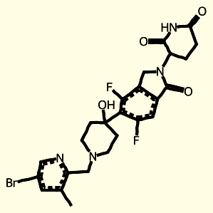 Cc1cc(Br)cnc1CN1CCC(O)(c2c(F)cc3c(c2F)CN(C2CCC(=O)NC2=O)C3=O)CC1